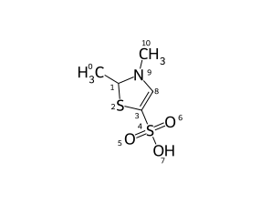 CC1SC(S(=O)(=O)O)=CN1C